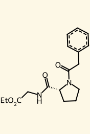 CCOC(=O)CNC(=O)[C@H]1CCCN1C(=O)Cc1ccccc1